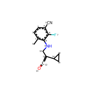 Cc1ccc(C#N)c(F)c1NCC(=C=O)C1CC1